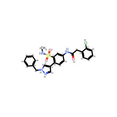 CNS(=O)(=O)c1cc(NC(=O)Cc2ccccc2Cl)ccc1-c1cnn(Cc2ccccc2)c1